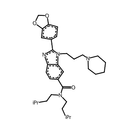 CC(C)CCN(CCC(C)C)C(=O)c1ccc2nc(-c3ccc4c(c3)OCO4)n(CCCN3CCCCC3)c2c1